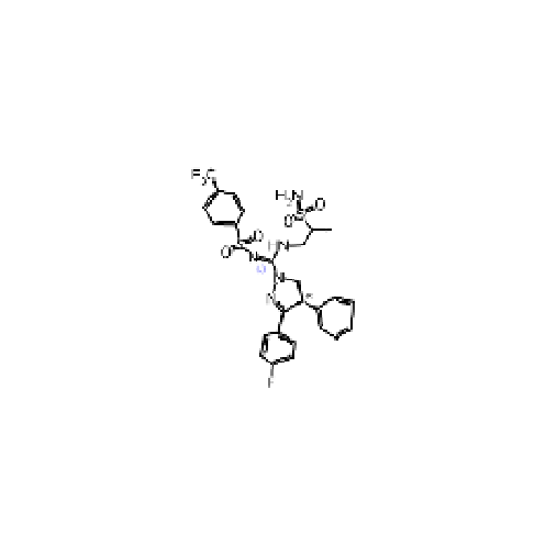 CC(CN/C(=N\S(=O)(=O)c1ccc(C(F)(F)F)cc1)N1C[C@@H](c2ccccc2)C(c2ccc(F)cc2)=N1)S(N)(=O)=O